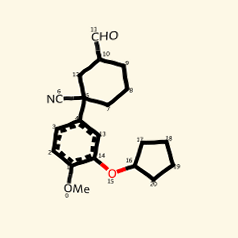 COc1ccc(C2(C#N)CCCC(C=O)C2)cc1OC1CCCC1